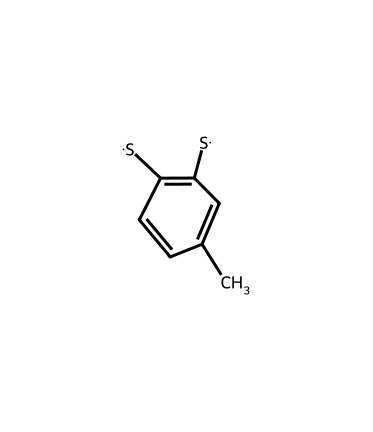 Cc1ccc([S])c([S])c1